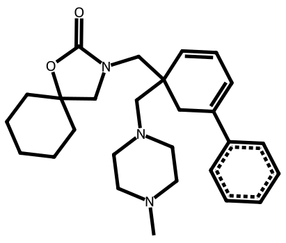 CN1CCN(CC2(CN3CC4(CCCCC4)OC3=O)C=CC=C(c3ccccc3)C2)CC1